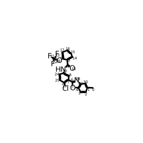 Cc1ccc2oc(-c3cc(NC(=O)c4ccccc4OC(F)(F)F)ccc3Cl)nc2c1